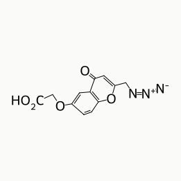 [N-]=[N+]=NCc1cc(=O)c2cc(OCC(=O)O)ccc2o1